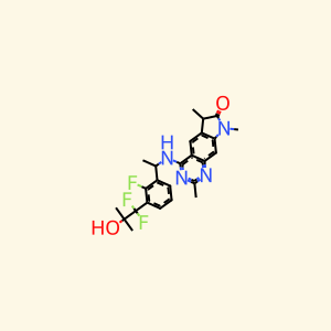 Cc1nc(NC(C)c2cccc(C(F)(F)C(C)(C)O)c2F)c2cc3c(cc2n1)N(C)C(=O)C3C